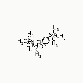 CC(C)(C)N=NC(C)(C)Oc1ccc(SC(C)(C)C)cc1